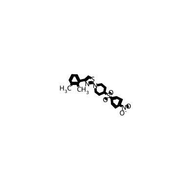 Cc1cccc(-c2csc(N3CCC(S(=O)(=O)c4ccc([N+](=O)[O-])cc4)CC3)n2)c1C